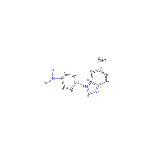 CN(C)c1ccc(-n2cnc3ccc(C=O)cc32)cc1